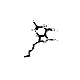 CCCCCc1nn(N)c2c(=O)[nH]c(C)nc12